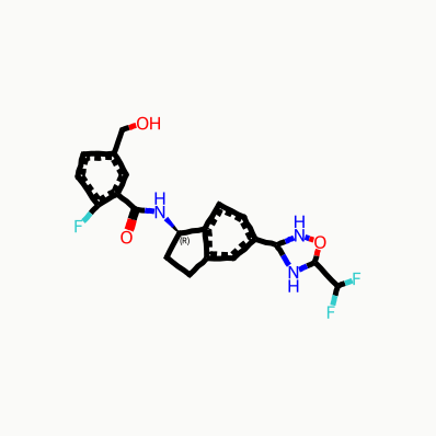 O=C(N[C@@H]1CCc2cc(C3NOC(C(F)F)N3)ccc21)c1cc(CO)ccc1F